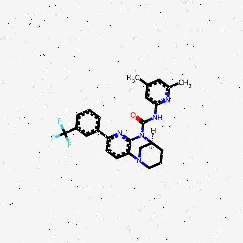 Cc1cc(C)nc(NC(=O)N2c3nc(-c4cccc(C(F)(F)F)c4)ccc3N3CCC[C@H]2C3)c1